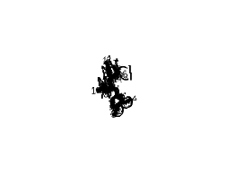 COc1ccc(Cc2nc(C)nn2-c2cc(Cl)nc(C)n2)cc1OC